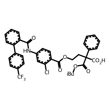 CCC(C)OC(=O)C(CCOC(=O)c1ccc(NC(=O)c2ccccc2-c2ccc(C(F)(F)F)cc2)cc1Cl)(C(=O)O)c1ccccc1